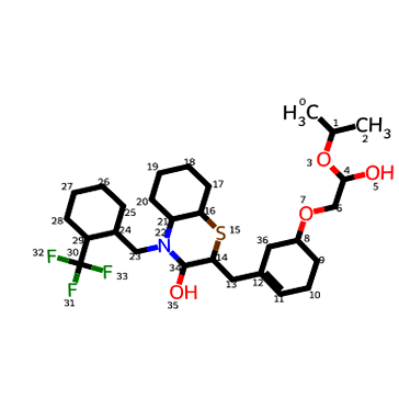 CC(C)OC(O)COC1CCC=C(CC2SC3CCCCC3N(CC3CCCCC3C(F)(F)F)C2O)C1